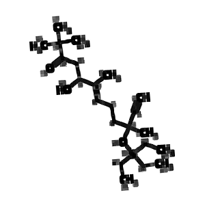 C#CC(C)(CC/C=C(\C)C(O)CC(=O)C(C)(C)C)O[Si](CC)(CC)CC